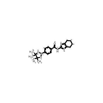 CC1(C)OB(c2ccc(C(=O)Nc3nc4c(s3)CCCC4)cc2)OC1(C)C